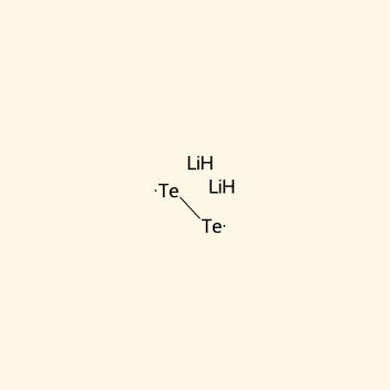 [LiH].[LiH].[Te][Te]